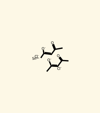 CC(=O)/C=C(/C)[O-].CC(=O)/C=C(/C)[O-].[Cl-].[Cl-].[Sn+4]